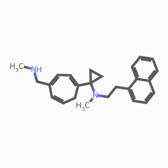 CNCC1=CC=C(C2(N(C)CCc3cccc4ccccc34)CC2)CC=C1